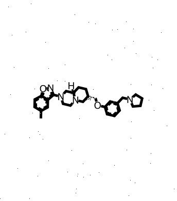 Cc1ccc2onc(N3CCN4C[C@@H](COc5cccc(CN6CCCC6)c5)CC[C@H]4C3)c2c1